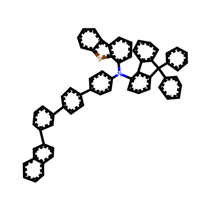 c1ccc(C2(c3ccccc3)c3ccccc3-c3c(N(c4ccc(-c5ccc(-c6cccc(-c7ccc8ccccc8c7)c6)cc5)cc4)c4cccc5c4sc4ccccc45)cccc32)cc1